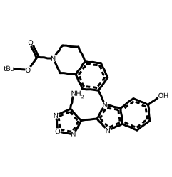 CC(C)(C)OC(=O)N1CCc2ccc(-n3c(-c4nonc4N)nc4ccc(O)cc43)cc2C1